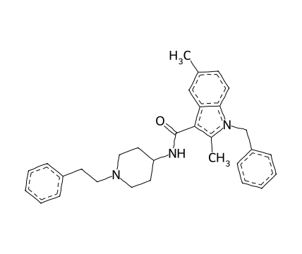 Cc1ccc2c(c1)c(C(=O)NC1CCN(CCc3ccccc3)CC1)c(C)n2Cc1ccccc1